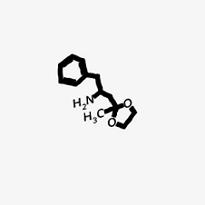 CC1(CC(N)Cc2ccccc2)OCCO1